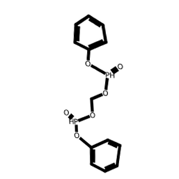 O=[PH](OCO[PH](=O)Oc1ccccc1)Oc1ccccc1